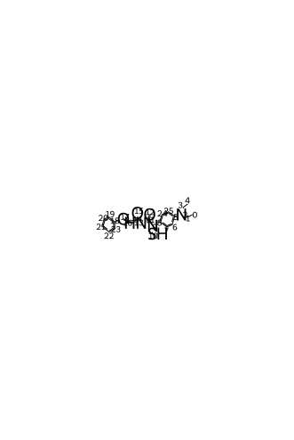 CCN(CC)c1ccc(N(S)C(=O)NC(=O)COc2ccccc2)cc1